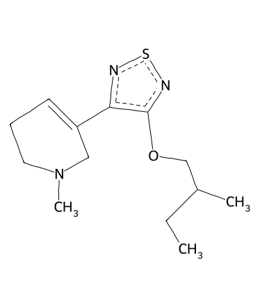 CCC(C)COc1nsnc1C1=CCCN(C)C1